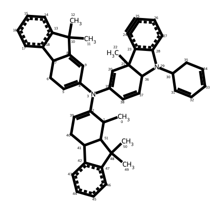 CC1C(N(C2=CCC3C(=C2)C(C)(C)c2ccccc23)C2=CC3(C)c4c#cccc4N(C4C=CC=CC4)C3C=C2)=CCC2c3ccccc3C(C)(C)C12